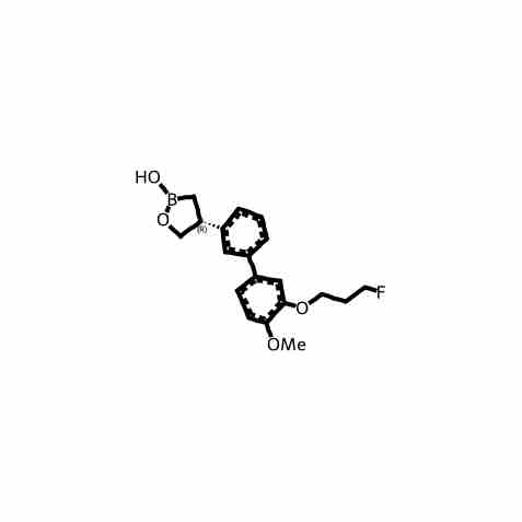 COc1ccc(-c2cccc([C@@H]3COB(O)C3)c2)cc1OCCCF